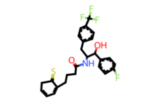 O=C(CCCC1=CC=CCC1=S)NC(Cc1ccc(C(F)(F)F)cc1)C(O)c1ccc(F)cc1